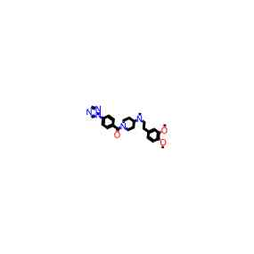 COc1ccc(CCN(C)C2CCN(C(=O)c3ccc(-n4cncn4)cc3)CC2)cc1OC